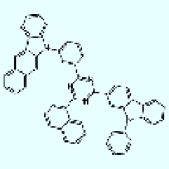 c1ccc(-n2c3ccccc3c3ccc(-c4nc(-c5cccc(-n6c7ccccc7c7cc8ccccc8cc76)c5)nc(-c5cccc6ccccc56)n4)cc32)cc1